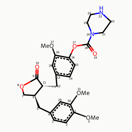 COc1ccc(C[C@H]2COC(=O)[C@@H]2Cc2ccc(OC(=O)N3CCNCC3)c(OC)c2)cc1OC